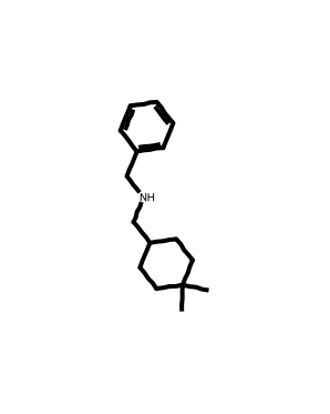 CC1(C)CCC(CNCc2ccccc2)CC1